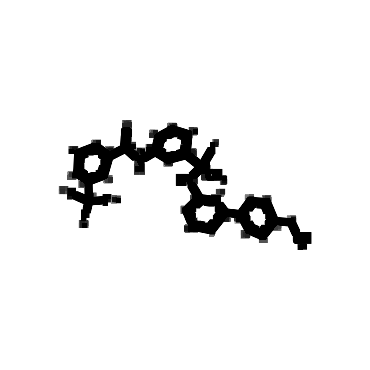 CC(I)(Nc1cncc(-c2ccc(CO)cc2)n1)c1cccc(NC(=O)c2cccc(C(F)(F)F)c2)c1